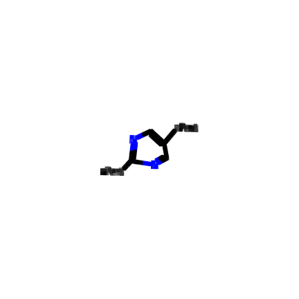 CCCCCc1cnc(CCCCC)nc1